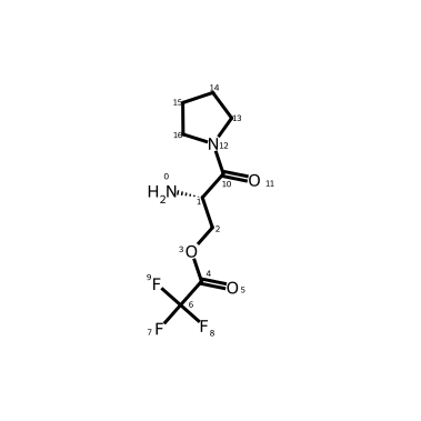 N[C@@H](COC(=O)C(F)(F)F)C(=O)N1CCCC1